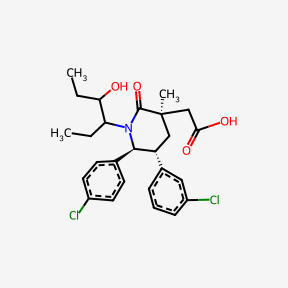 CCC(O)C(CC)N1C(=O)[C@@](C)(CC(=O)O)C[C@H](c2cccc(Cl)c2)[C@H]1c1ccc(Cl)cc1